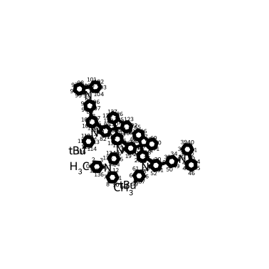 Cc1ccc(N(c2ccc(C)cc2)c2ccc(-n3c4ccc(C5(c6ccc7c(c6)c6cc(-c8ccc(-n9c%10ccccc%10c%10ccccc%109)cc8)ccc6n7-c6ccc(C(C)(C)C)cc6)c6ccccc6-c6ccccc65)cc4c4cc(C5(c6ccc7c(c6)c6cc(-c8ccc(-n9c%10ccccc%10c%10ccccc%109)cc8)ccc6n7-c6ccc(C(C)(C)C)cc6)c6ccccc6-c6ccccc65)ccc43)cc2)cc1